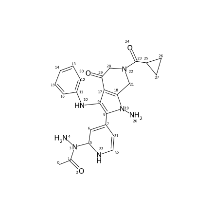 CC(=O)N(N)C1C=C(c2c(Nc3ccccc3)c3c(n2N)CN(C(=O)C2CC2)CC3=O)C=CN1